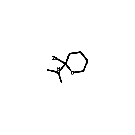 C[SiH](C)[C]1([Zn])CCCCO1